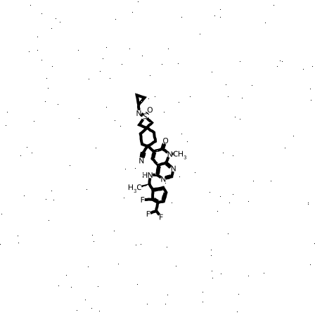 C[C@@H](Nc1ncnc2c1cc(C1(C#N)CCC3(CC1)CS(=O)(=NC1CC1)C3)c(=O)n2C)c1cccc(C(F)F)c1F